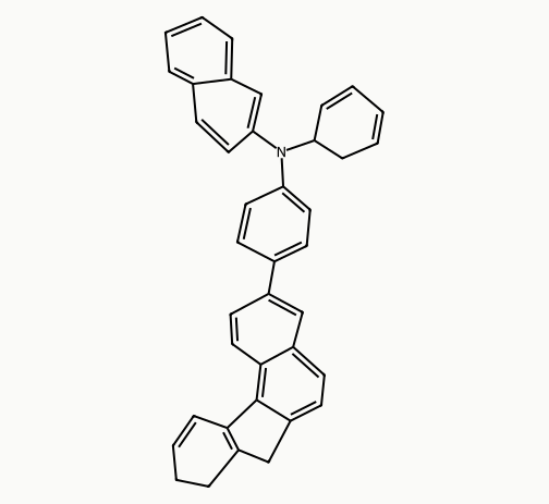 C1=CCC(N(c2ccc(-c3ccc4c5c(ccc4c3)CC3=C5C=CCC3)cc2)c2ccc3ccccc3c2)C=C1